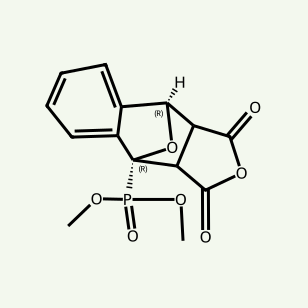 COP(=O)(OC)[C@@]12O[C@@H](c3ccccc31)C1C(=O)OC(=O)C12